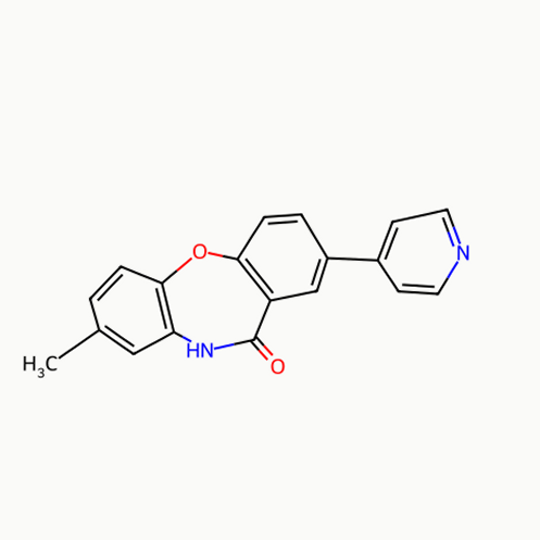 Cc1ccc2c(c1)NC(=O)c1cc(-c3ccncc3)ccc1O2